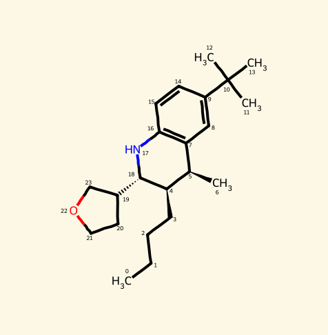 CCCC[C@@H]1[C@H](C)c2cc(C(C)(C)C)ccc2N[C@H]1C1CCOC1